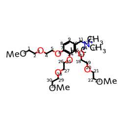 COCCOCCOc1ccc(C[N+](C)(C)C)c(OCCOCCOC)c1OCCOCCOC